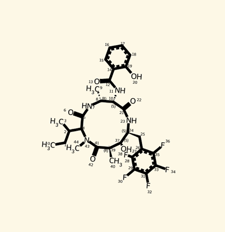 CCC(C)C1C(=O)N[C@H](C)[C@H](NC(=O)c2ccccc2O)C(=O)N[C@@H](Cc2c(F)c(F)c(F)c(F)c2F)[C@@H](O)[C@@H](C)C(=O)N1C